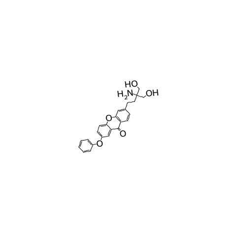 NC(CO)(CO)CCc1ccc2c(=O)c3cc(Oc4ccccc4)ccc3oc2c1